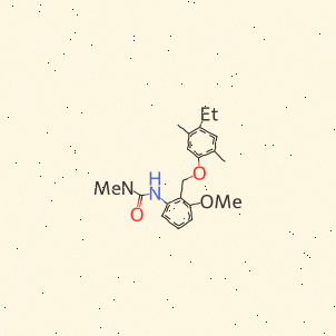 CCc1cc(C)c(OCc2c(NC(=O)NC)cccc2OC)cc1C